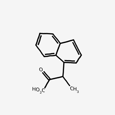 CC(C(=O)C(=O)O)c1cccc2ccccc12